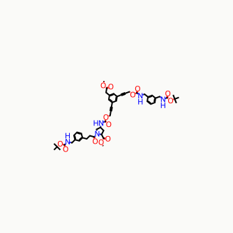 COC(=O)Cc1cc(C#CCOC(=O)NCc2cccc(CNC(=O)OC(C)(C)C)c2)cc(C#CCOC(=O)NC2CC(C(=O)OC)N(C(=O)CCc3cccc(CNC(=O)OC(C)(C)C)c3)C2)c1